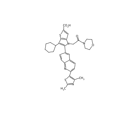 Cc1nc(C)c(-c2ccc3cc(-c4c(C5CCCCC5)c5sc(C(=O)O)cc5n4CC(=O)N4CCOCC4)ccc3n2)s1